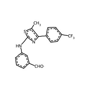 Cc1sc(Nc2cccc([C]=O)c2)nc1-c1ccc(C(F)(F)F)cc1